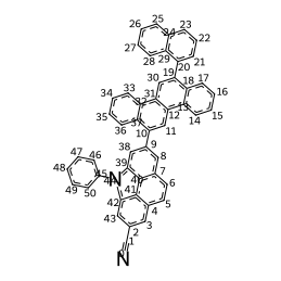 N#Cc1cc2ccc3cc(-c4cc5c6ccccc6c(-c6cccc7ccccc67)cc5c5ccccc45)cc4c3c2c(c1)n4-c1ccccc1